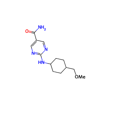 COCC1CCC(Nc2ncc(C(N)=O)cn2)CC1